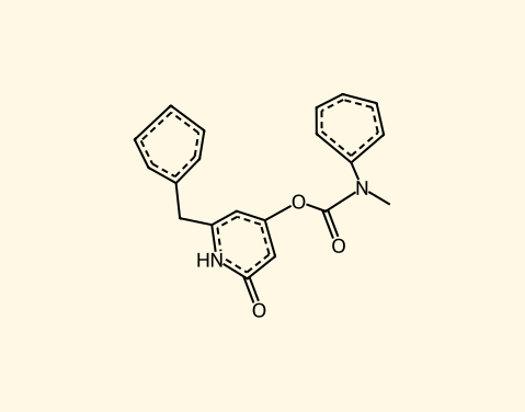 CN(C(=O)Oc1cc(Cc2ccccc2)[nH]c(=O)c1)c1ccccc1